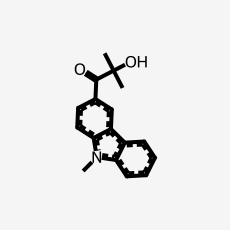 Cn1c2ccccc2c2cc(C(=O)C(C)(C)O)ccc21